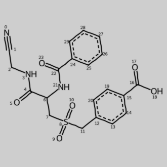 N#CCNC(=O)C(CS(=O)(=O)Cc1ccc(C(=O)O)cc1)NC(=O)c1ccccc1